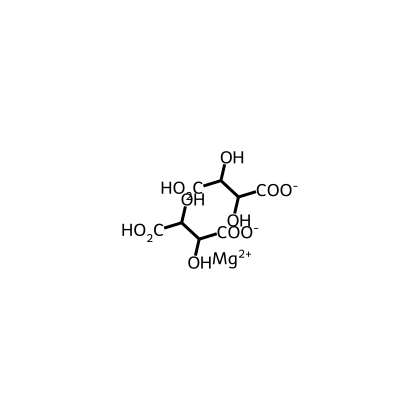 O=C([O-])C(O)C(O)C(=O)O.O=C([O-])C(O)C(O)C(=O)O.[Mg+2]